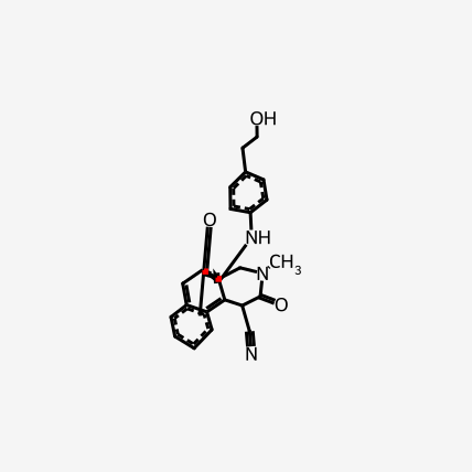 CN1CC23C=C(Nc4ccc(CCO)cc4)C(=O)C=C2C=c2ccccc2=C3C(C#N)C1=O